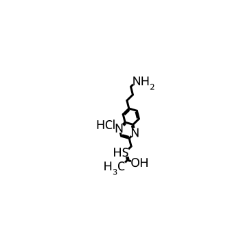 CC(O)=[SH]Cc1cnc2cc(CCCN)ccc2n1.Cl